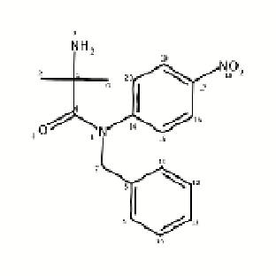 CC(C)(N)C(=O)N(Cc1ccccc1)c1ccc([N+](=O)[O-])cc1